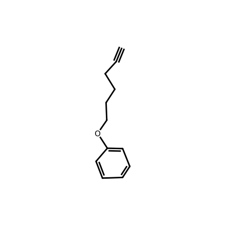 C#CCCCCOc1ccccc1